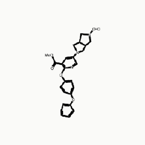 COC(=O)c1cc(N2CC3CN(C=O)CC3C2)cnc1Oc1ccc(Oc2ccccc2)cc1